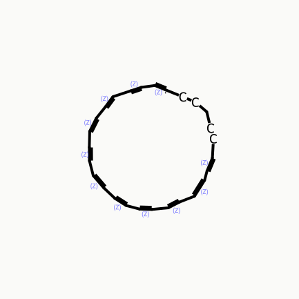 [C]1=C/C=C\C=C/C=C\C=C/C=C\C=C/C=C\C=C/C=C\C=C/CCCCC\1